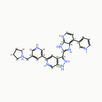 c1cncc(-c2ccnc3[nH]c(-c4n[nH]c5cnc(-c6cncc(CN7CCCC7)c6)cc45)nc23)c1